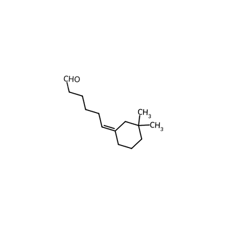 CC1(C)CCCC(=CCCCCC=O)C1